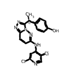 C[C@@H](c1ccc(O)cc1)c1nnc2ccc(Nc3cc(Cl)ncc3Cl)nn12